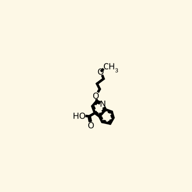 COCCCOc1cc(C(=O)O)c2ccccc2n1